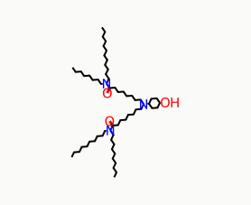 CCCCCCCCCCCCN(CCCCCCCC)C(=O)CCCCCCCN(CCCCCCCC(=O)N(CCCCCCCCCC)CCCCCCCCCC)C1CCC(O)CC1